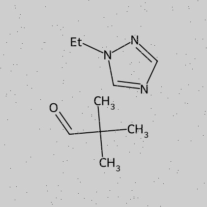 CC(C)(C)C=O.CCn1cncn1